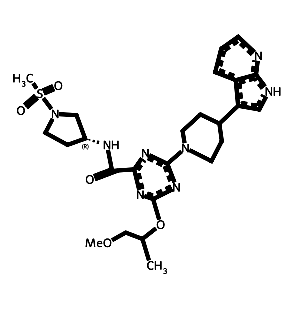 COCC(C)Oc1nc(C(=O)N[C@@H]2CCN(S(C)(=O)=O)C2)nc(N2CCC(c3c[nH]c4ncccc34)CC2)n1